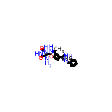 C[C@@H](NC(=O)c1[nH]c(=O)[nH]c(=O)c1N)c1cccc(/C(C=N)=C/NCc2ccccc2C#N)c1